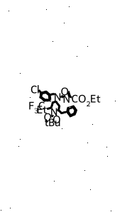 CCOC(=O)c1coc(N(Cc2cc(Cl)cc(C(F)(F)F)c2)C2CC(CC)N(C(=O)OC(C)(C)C)C(Cc3ccccc3)C2)n1